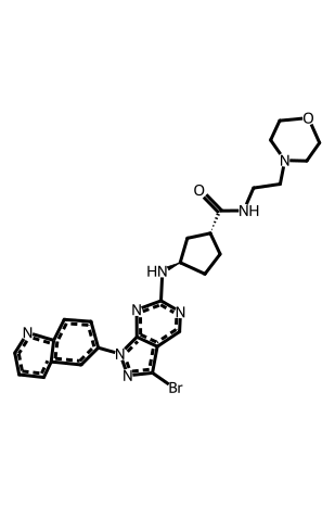 O=C(NCCN1CCOCC1)[C@@H]1CC[C@@H](Nc2ncc3c(Br)nn(-c4ccc5ncccc5c4)c3n2)C1